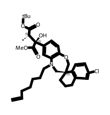 C=CCCCCCN1C[C@@]2(CCCc3cc(Cl)ccc32)COc2ccc([C@](O)(C(=O)OC)[C@H](C)C(=O)OC(C)(C)C)cc21